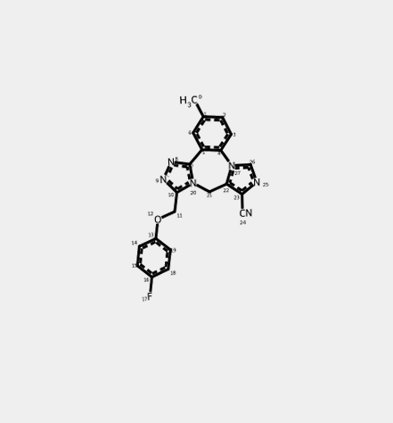 Cc1ccc2c(c1)-c1nnc(COc3ccc(F)cc3)n1Cc1c(C#N)ncn1-2